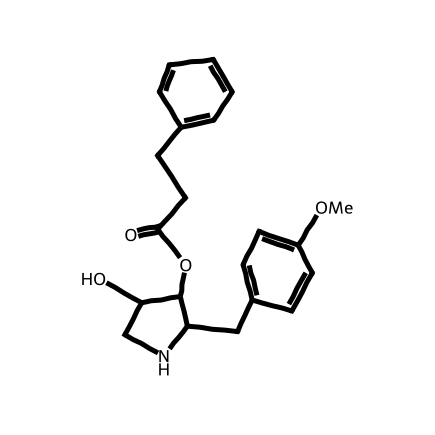 COc1ccc(CC2NCC(O)C2OC(=O)CCc2ccccc2)cc1